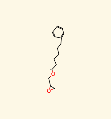 [CH](CCCCCc1ccccc1)OCC1CO1